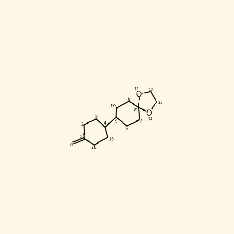 C=C1CCC(C2CCC3(CC2)OCCO3)CC1